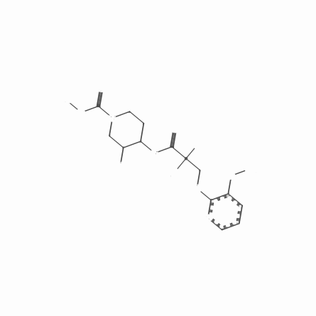 CCC1CN(C(=O)OC(C)(C)C)CCC1NC(=O)C(C)(C)COc1ncccc1OC(F)(F)F